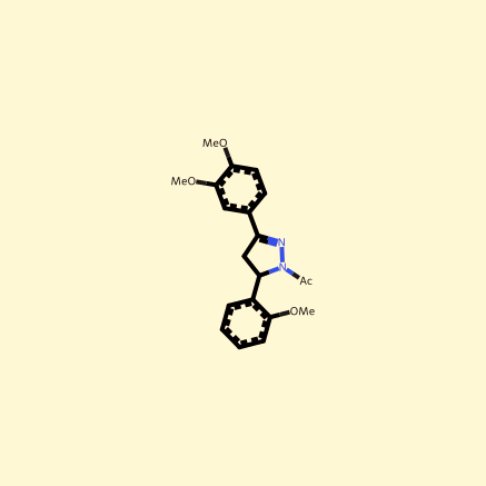 COc1ccc(C2=NN(C(C)=O)C(c3ccccc3OC)C2)cc1OC